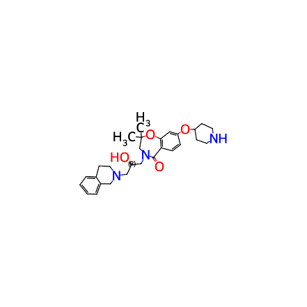 CC1(C)CN(C[C@H](O)CN2CCc3ccccc3C2)C(=O)c2ccc(OC3CCNCC3)cc2O1